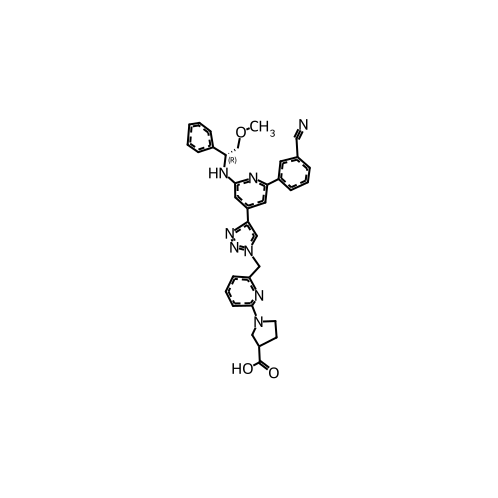 COC[C@H](Nc1cc(-c2cn(Cc3cccc(N4CCC(C(=O)O)C4)n3)nn2)cc(-c2cccc(C#N)c2)n1)c1ccccc1